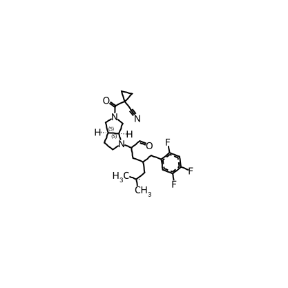 C[C](C)CC(Cc1cc(F)c(F)cc1F)CC(C=O)N1CC[C@H]2CN(C(=O)C3(C#N)CC3)C[C@H]21